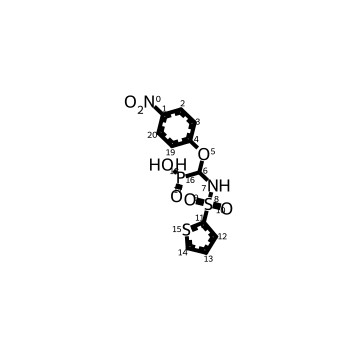 O=[N+]([O-])c1ccc(OC(NS(=O)(=O)c2cccs2)[PH](=O)O)cc1